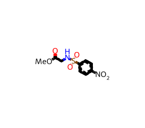 COC(=O)CNS(=O)(=O)c1ccc([N+](=O)[O-])cc1